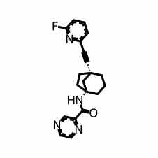 O=C(N[C@]12CCC[C@](C#Cc3cccc(F)n3)(CC1)C2)c1cnccn1